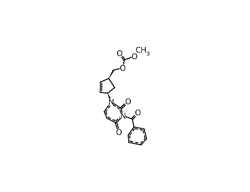 COC(=O)OC[C@@H]1C=C[C@H](n2ccc(=O)n(C(=O)c3ccccc3)c2=O)C1